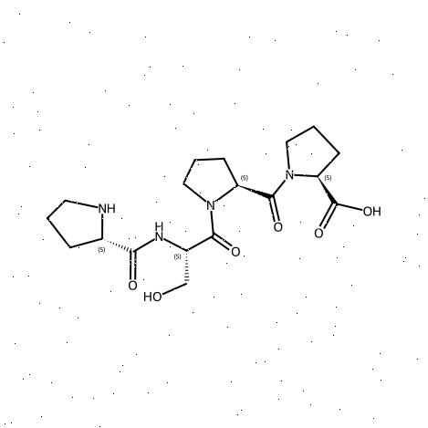 O=C(N[C@@H](CO)C(=O)N1CCC[C@H]1C(=O)N1CCC[C@H]1C(=O)O)[C@@H]1CCCN1